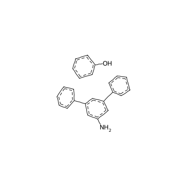 Nc1cc(-c2ccccc2)cc(-c2ccccc2)c1.Oc1ccccc1